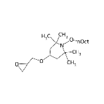 CCCCCCCCON1C(C)(C)CC(OCC2CO2)CC1(C)C